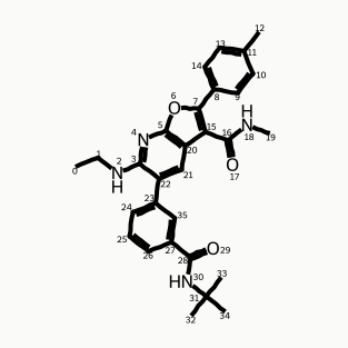 CCNc1nc2oc(-c3ccc(C)cc3)c(C(=O)NC)c2cc1-c1cccc(C(=O)NC(C)(C)C)c1